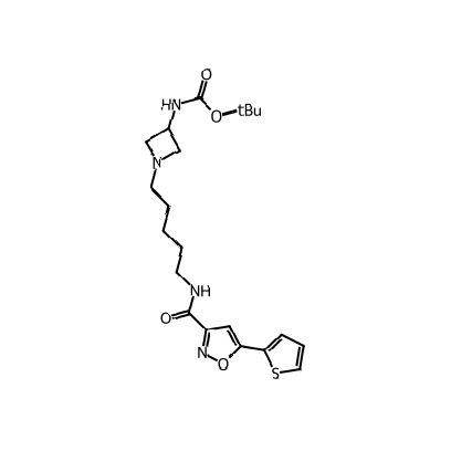 CC(C)(C)OC(=O)NC1CN(CCCCCNC(=O)c2cc(-c3cccs3)on2)C1